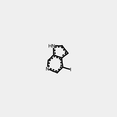 Ic1cncc2[nH]ccc12